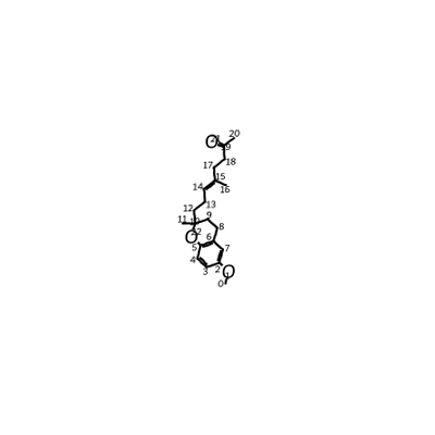 COc1ccc2c(c1)CCC(C)(CC/C=C(\C)CCC(C)=O)O2